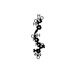 CC(C)c1cc(C2=CC(C)(C)Oc3cc(-c4ccc(C(=O)NCC#Cc5cccc(NC6CCC(=O)NC6=O)c5)nc4)ncc32)cc2c1n(C)c(=O)n2C